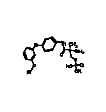 CC(C)Oc1cccc(Oc2ccc(NC(=O)[C@@](C)(N)COP(=O)(O)O)cc2)c1